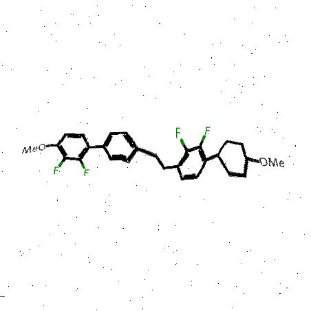 COc1ccc(-c2ccc(CCc3ccc(C4CCC(OC)CC4)c(F)c3F)cc2)c(F)c1F